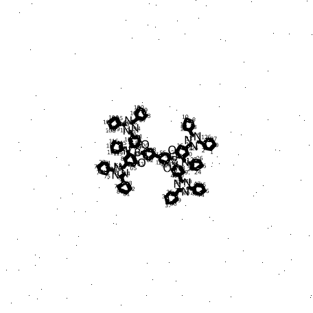 c1ccc(-c2nc(-c3ccccc3)nc(-c3cc4c5c(c3)N(c3ccccc3)c3cc(-c6nc(-c7ccccc7)nc(-c7ccccc7)n6)cc6c3B5c3c(cc(-c5cc7c8c(c5)Oc5cc(-c9nc(-c%10ccccc%10)nc(-c%10ccccc%10)n9)cc9c5B8c5c(cc(-c8nc(-c%10ccccc%10)nc(-c%10ccccc%10)n8)cc5N9c5ccccc5)O7)cc3O6)O4)n2)cc1